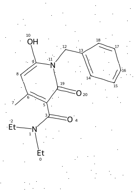 CCN(CC)C(=O)c1c(C)cc(O)n(Cc2ccccc2)c1=O